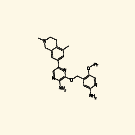 Cc1cc(-c2cnc(N)c(OCc3cc(N)ncc3OC(C)C)n2)cc2c1CCN(C)C2